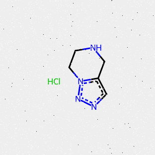 Cl.c1nnn2c1CNCC2